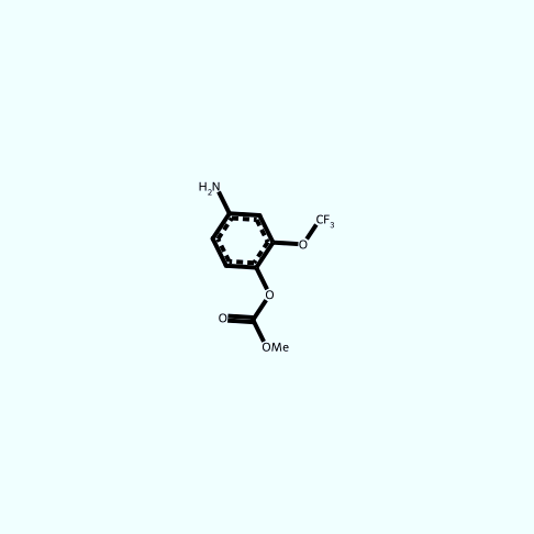 COC(=O)Oc1ccc(N)cc1OC(F)(F)F